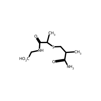 CC(CSC(C)C(=O)NCC(=O)O)C(N)=O